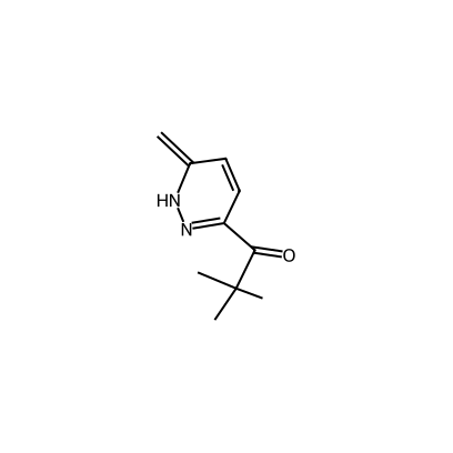 C=C1C=CC(C(=O)C(C)(C)C)=NN1